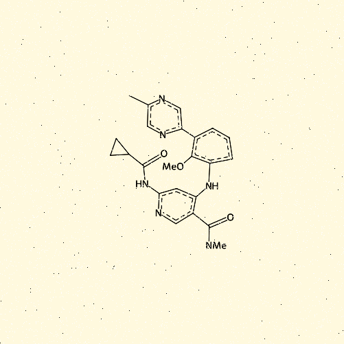 CNC(=O)c1cnc(NC(=O)C2CC2)cc1Nc1cccc(-c2cnc(C)cn2)c1OC